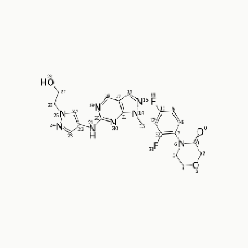 O=C1COCCN1c1ccc(F)c(Cn2ncc3cnc(Nc4cnn(CCO)c4)nc32)c1F